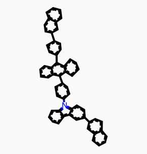 c1ccc2cc(-c3ccc(-c4c5ccccc5c(-c5ccc(-n6c7ccccc7c7cc(-c8ccc9ccccc9c8)ccc76)cc5)c5ccccc45)cc3)ccc2c1